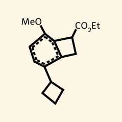 CCOC(=O)C1Cc2c(C3CCC3)ccc(OC)c21